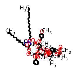 CCCCCCCCCCCCCCCCCC(=O)N[C@H]1CO[C@@H]2OC(COC(=O)CCC(=O)O[C@H](CCCCCCCCCCCCCC)[C@H]1OC(C)=O)[C@@H](O[C@@H]1OC(COC(=O)c3ccccc3)[C@H](C)[C@H](O[C@]3(C(=O)OC)CC(C)[C@@H](C)[C@H]([C@H](C)[C@@H](COC(C)=O)OC(C)=O)O3)C1OC(=O)c1ccccc1)C(C)C2OCc1ccc(OC)cc1